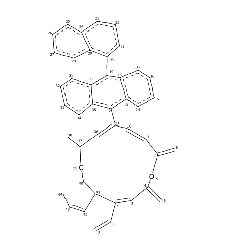 C=C/C1=C/C(=C)OC(=C)/C=C\C(c2c3ccccc3c(-c3cccc4ccccc34)c3ccccc23)=C/C(C)CCC1/C=C\C